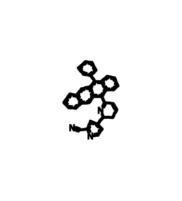 N#Cc1cc(C2CC=CC(c3c4ccccc4c(-c4ccccc4)c4cc5ccccc5cc34)=N2)ccn1